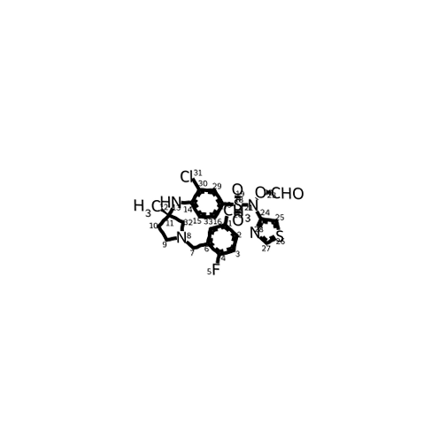 Cc1ccc(F)c(CN2CC[C@](C)(Nc3ccc(S(=O)(=O)N(OC=O)c4cscn4)cc3Cl)C2)c1